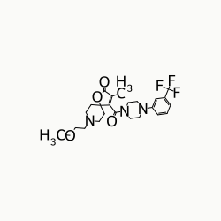 COCCN1CCC2(CC1)OC(=O)C(C)=C2C(=O)N1CCN(c2cccc(C(F)(F)F)c2)CC1